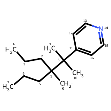 [CH2]C(CCC)(CCC)C(C)(C)c1ccncc1